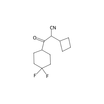 N#CC(C(=O)C1CCC(F)(F)CC1)C1CCC1